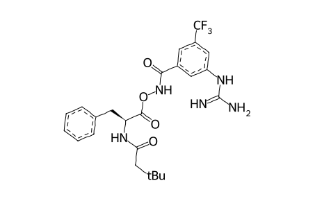 CC(C)(C)CC(=O)N[C@@H](Cc1ccccc1)C(=O)ONC(=O)c1cc(NC(=N)N)cc(C(F)(F)F)c1